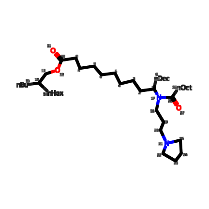 CCCCCCCCCCC(CCCCCCCCC(=O)OCC(CCCC)CCCCCC)N(CCCN1CCCC1)C(=O)CCCCCCCC